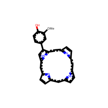 COc1cc(-c2cc3cc4nc(cc5ccc(cc6nc(cc2[nH]3)C=C6)[nH]5)C=C4)ccc1O